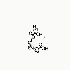 CC(C)C(=O)OCCOn1on1N1CCCC(C(=O)O)C1